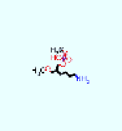 COCC(CCCCN)COP(=O)(O)OC